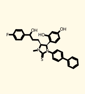 CN1C(=S)N(c2ccc(-c3ccccc3)cc2)[C@H](c2ccc(O)cc2O)[C@@H]1CCC(O)c1ccc(F)cc1